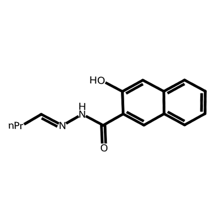 CCCC=NNC(=O)c1cc2ccccc2cc1O